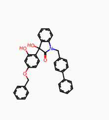 O=C1N(Cc2ccc(-c3ccccc3)cc2)c2ccccc2C1(O)c1ccc(OCc2ccccc2)cc1O